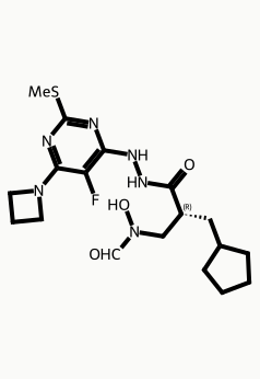 CSc1nc(NNC(=O)[C@H](CC2CCCC2)CN(O)C=O)c(F)c(N2CCC2)n1